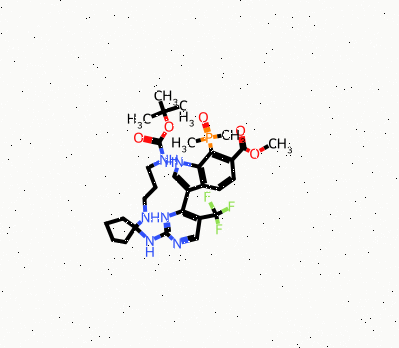 COC(=O)c1ccc2c(-c3nc(NC4(NCCCNC(=O)OC(C)(C)C)CCCC4)ncc3C(F)(F)F)c[nH]c2c1P(C)(C)=O